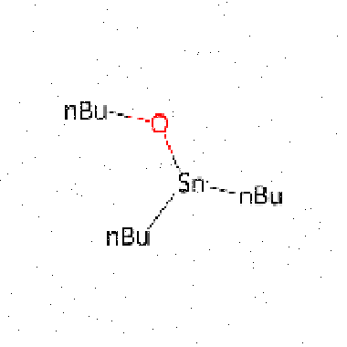 CCCC[O][Sn]([CH2]CCC)[CH2]CCC